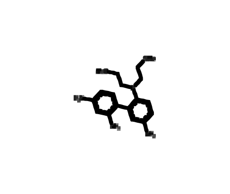 COCCN(CCOC)c1ccc(N)cc1-c1ccc(N)cc1N